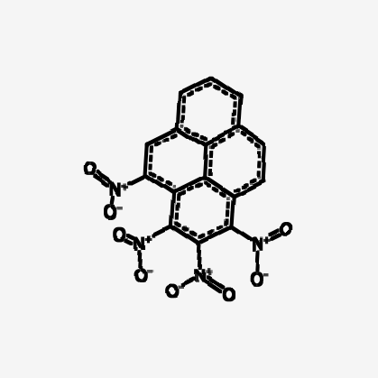 O=[N+]([O-])c1c([N+](=O)[O-])c2ccc3cccc4cc([N+](=O)[O-])c(c1[N+](=O)[O-])c2c34